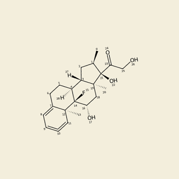 C[C@@H]1C[C@H]2[C@@H]3CCC4=CC=C=C[C@]4(C)[C@@]3(F)[C@@H](O)C[C@]2(C)[C@@]1(O)C(=O)CO